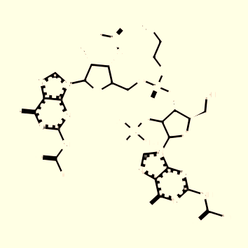 CC(C)C(=O)Nc1nc2c(ncn2C2O[C@H](CO)[C@@H](OP(=O)(OCCC#N)OCC3OC(n4cnc5c(=O)[nH]c(NC(=O)C(C)C)nc54)[C@H](N)[C@@H]3O[PH](=O)O)C2O[Si](C)(C)C(C)(C)C)c(=O)[nH]1